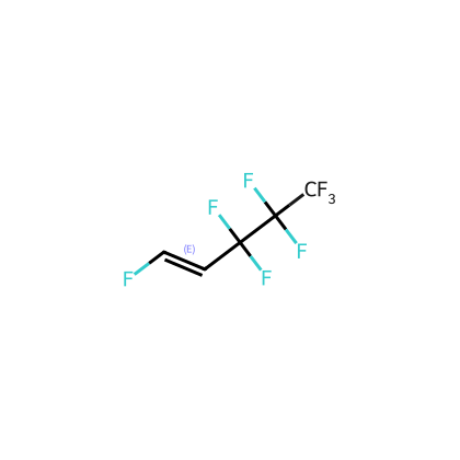 F/C=C/C(F)(F)C(F)(F)C(F)(F)F